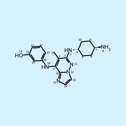 Cc1c(N[C@H]2CC[C@H](N)CC2)nn2ccnc2c1Nc1cccc(O)c1